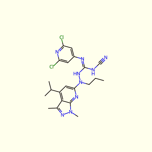 CCCN(N/C(=N\c1cc(Cl)nc(Cl)c1)NC#N)c1cc(C(C)C)c2c(C)nn(C)c2n1